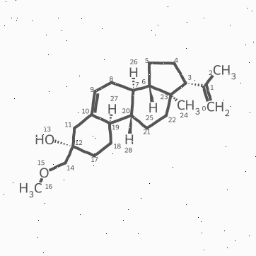 C=C(C)[C@H]1CC[C@H]2[C@@H]3CC=C4C[C@](O)(COC)CC[C@@H]4[C@H]3CC[C@]12C